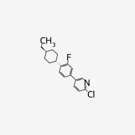 CC[C@H]1CC[C@H](c2ccc(-c3ccc(Cl)nc3)cc2F)CC1